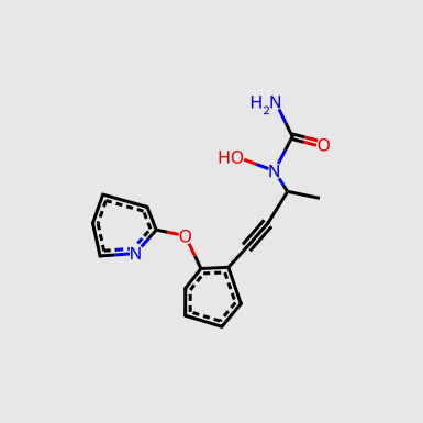 CC(C#Cc1ccccc1Oc1ccccn1)N(O)C(N)=O